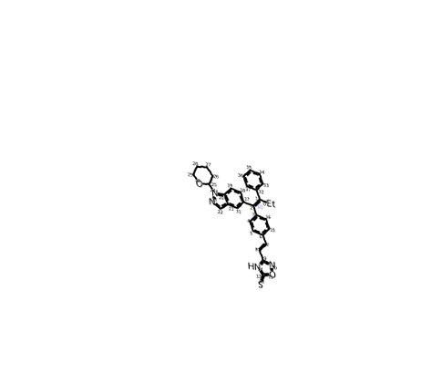 CC/C(=C(\c1ccc(C=Cc2noc(=S)[nH]2)cc1)c1ccc2c(cnn2C2CCCCO2)c1)c1ccccc1